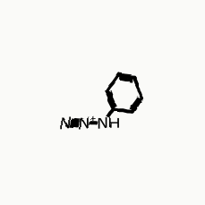 N#[N+]Nc1ccccc1